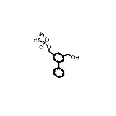 CC(C)OP(=O)(S)OCc1cc(CO)cc(-c2ccccc2)c1